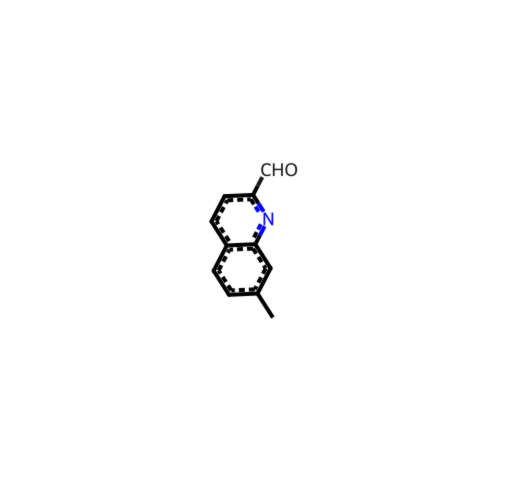 Cc1ccc2ccc(C=O)nc2c1